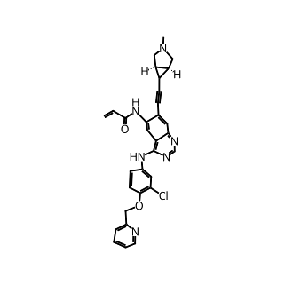 C=CC(=O)Nc1cc2c(Nc3ccc(OCc4ccccn4)c(Cl)c3)ncnc2cc1C#CC1[C@H]2CN(C)C[C@@H]12